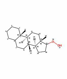 C[C@]12CCCCC1CC[C@@H]1[C@@H]2CC[C@]2(C)C(OO)CC[C@@H]12